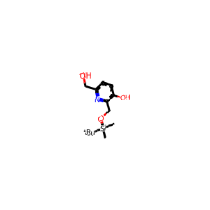 CC(C)(C)[Si](C)(C)OCc1nc(CO)ccc1O